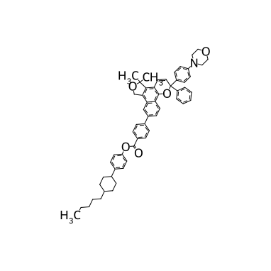 CCCCCC1CCC(c2ccc(OC(=O)c3ccc(-c4ccc5c6c(c7c(c5c4)COC7(C)C)C=CC(c4ccccc4)(c4ccc(N5CCOCC5)cc4)O6)cc3)cc2)CC1